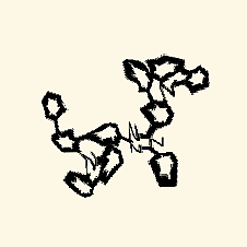 c1ccc(-c2ccc(-n3c4ccccc4c4ccccc43)c(-c3ccc(-c4nc(-c5ccccc5)nc(-c5ccc(-n6c7ccccc7c7ccccc76)c(-c6ccccc6)c5)n4)cc3)c2)cc1